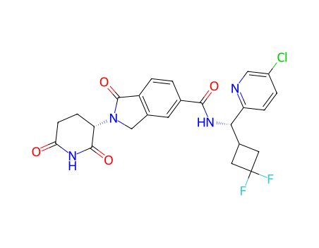 O=C1CC[C@H](N2Cc3cc(C(=O)N[C@H](c4ccc(Cl)cn4)C4CC(F)(F)C4)ccc3C2=O)C(=O)N1